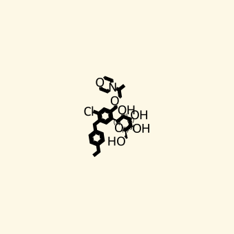 CCc1ccc(Cc2cc([C@@H]3O[C@H](CO)[C@@H](O)[C@H](O)[C@H]3O)c(COCC(C)N3CCOCC3)cc2Cl)cc1